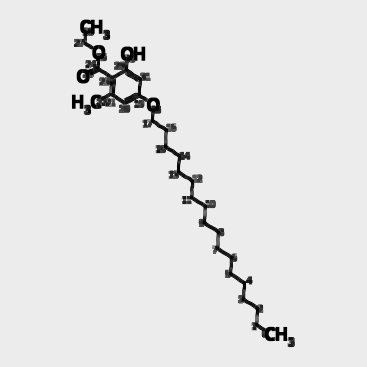 CCCCCCCCCCCCCCCCCCOc1cc(C)c(C(=O)OCC)c(O)c1